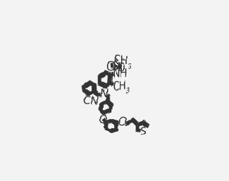 Cc1c(NS(C)(=O)=O)cccc1N(Cc1ccc(Oc2cccc(OCCC3C=CSC3)c2)cc1)Cc1ccccc1C#N